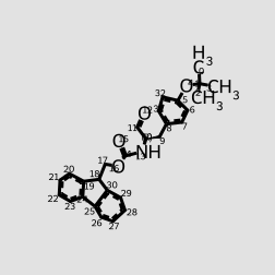 CC(C)(C)Oc1ccc(C[C@H](C=O)NC(=O)OCC2c3ccccc3-c3ccccc32)cc1